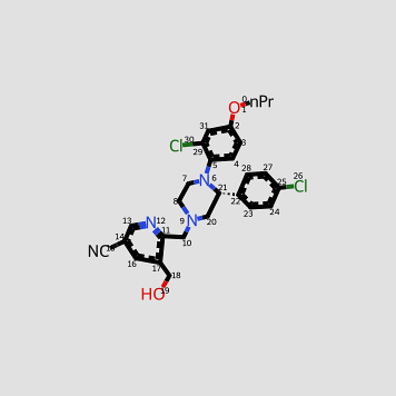 CCCOc1ccc(N2CCN(Cc3ncc(C#N)cc3CO)C[C@H]2c2ccc(Cl)cc2)c(Cl)c1